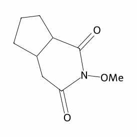 CON1C(=O)CC2CCCC2C1=O